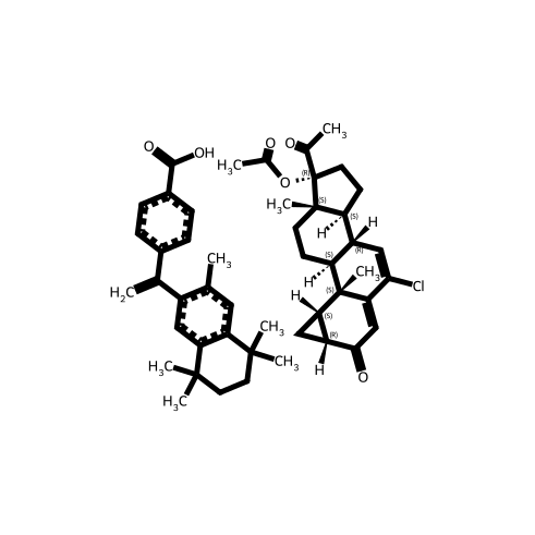 C=C(c1ccc(C(=O)O)cc1)c1cc2c(cc1C)C(C)(C)CCC2(C)C.CC(=O)O[C@]1(C(C)=O)CC[C@H]2[C@@H]3C=C(Cl)C4=CC(=O)[C@@H]5C[C@@H]5[C@]4(C)[C@H]3CC[C@@]21C